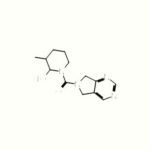 CC1CCCN(C(=O)N2Cc3cncnc3C2)C1O